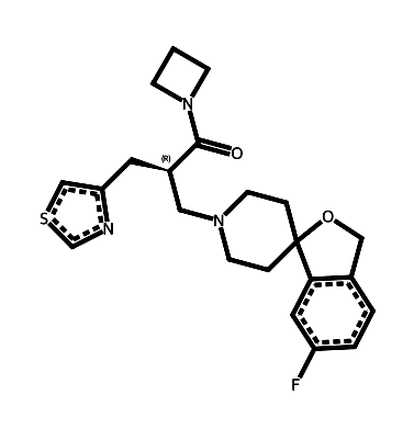 O=C([C@H](Cc1cscn1)CN1CCC2(CC1)OCc1ccc(F)cc12)N1CCC1